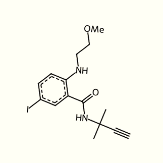 C#CC(C)(C)NC(=O)c1cc(I)ccc1NCCOC